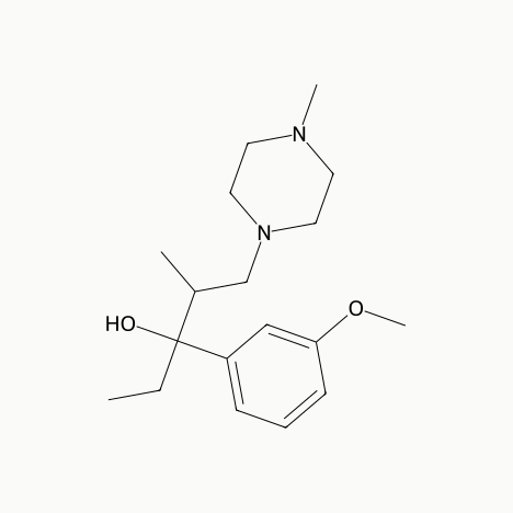 CCC(O)(c1cccc(OC)c1)C(C)CN1CCN(C)CC1